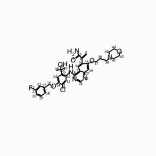 C=C(C(N)=O)c1cc2c(Nc3cc(Cl)c(OCc4cccc(F)c4)cc3C(C)(C)O)ncnc2cc1OCCCN1CCOCC1